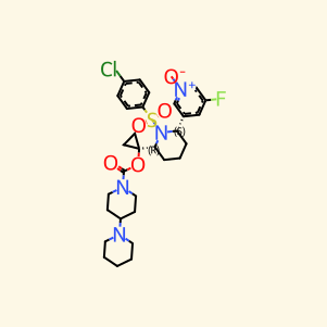 O=C(OC1([C@H]2CCC[C@@H](c3cc(F)c[n+]([O-])c3)N2S(=O)(=O)c2ccc(Cl)cc2)CC1)N1CCC(N2CCCCC2)CC1